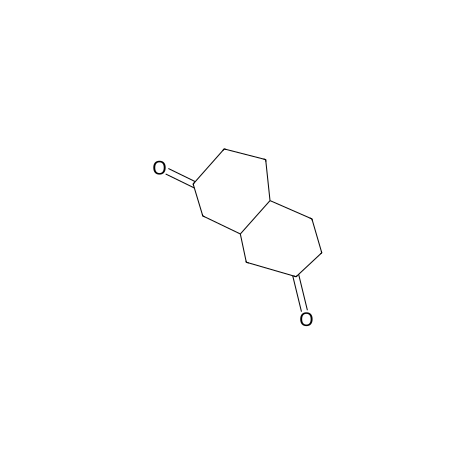 O=C1CCC2CCC(=O)CC2C1